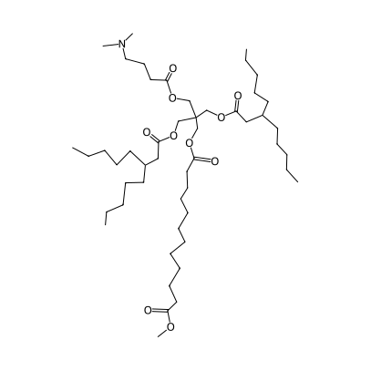 CCCCCC(CCCCC)CC(=O)OCC(COC(=O)CCCCCCCCCCC(=O)OC)(COC(=O)CCCN(C)C)COC(=O)CC(CCCCC)CCCCC